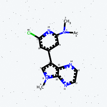 CC(=O)N(C)c1cc(-c2cn(C)c3nccnc23)cc(Cl)n1